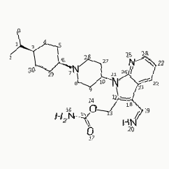 CC(C)[C@H]1CC[C@@H](N2CCC(n3c(COC(N)=O)c(C=N)c4cccnc43)CC2)CC1